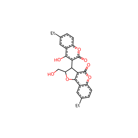 CCc1ccc2oc(=O)c(C3c4c(c5cc(CC)ccc5oc4=O)OC3CO)c(O)c2c1